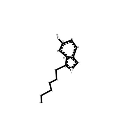 [CH2]CCCCCc1occ2ccc(F)cc12